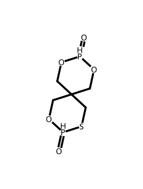 O=[PH]1OCC2(CO1)CO[PH](=O)SC2